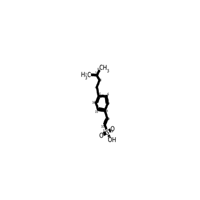 CC(C)CCc1ccc(C=CS(=O)(=O)O)cc1